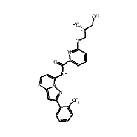 O=C(Nc1ccnc2cc(-c3ccccc3C(F)(F)F)nn12)c1cccc(OC[C@H](O)CO)n1